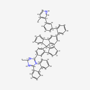 Cc1nc(-c2ccc3c(c2)-c2ccccc2C32c3ccccc3-c3cc(-c4ccccc4-c4cccc(-c5cnccc5C)c4)ccc32)nc(-c2ccccc2-c2ccccc2)n1